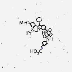 COc1ccc2c(c1)N(CC(C)C)CCn1c-2c(C2CCCCC2)c2ccc(C(=O)NC3(C(=O)Nc4ccc(/C=C/C(=O)O)cc4)CCC3)cc21